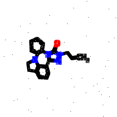 C=CCn1nc2n(c1=O)-c1ccccc1N1CCc3cccc-2c31